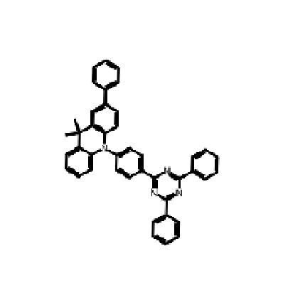 CC1(C)c2ccccc2N(c2ccc(-c3nc(-c4ccccc4)nc(-c4ccccc4)n3)cc2)c2ccc(-c3ccccc3)cc21